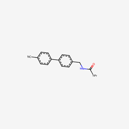 CCCC(=O)NCc1ccc(-c2ccc(C#N)cc2)cc1